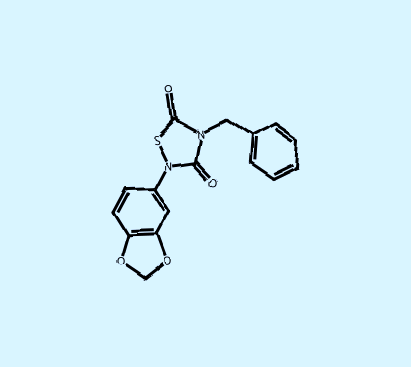 O=c1sn(-c2ccc3c(c2)OCO3)c(=O)n1Cc1ccccc1